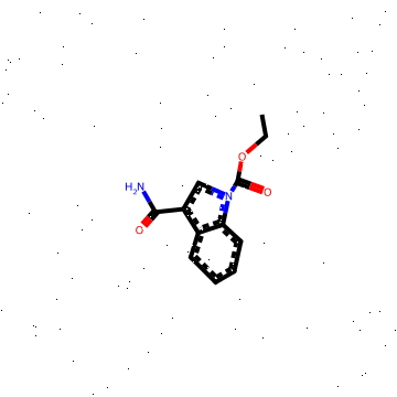 CCOC(=O)n1cc(C(N)=O)c2ccccc21